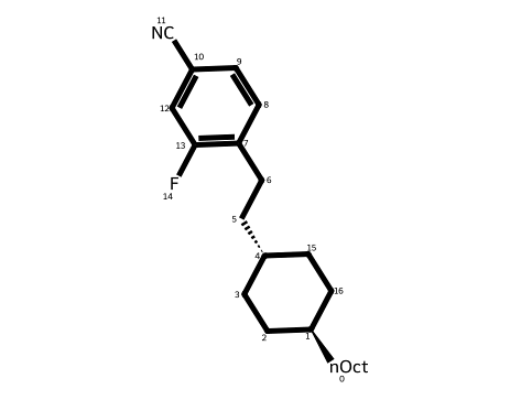 CCCCCCCC[C@H]1CC[C@H](CCc2ccc(C#N)cc2F)CC1